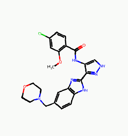 COc1cc(Cl)ccc1C(=O)Nc1c[nH]nc1-c1nc2cc(CN3CCOCC3)ccc2[nH]1